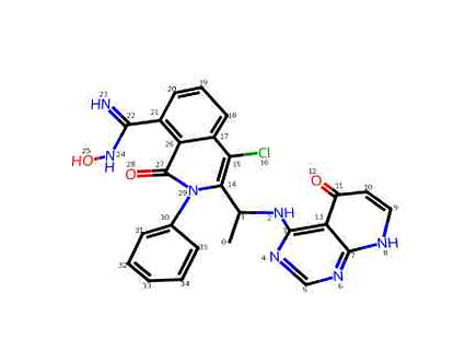 CC(Nc1ncnc2[nH]ccc(=O)c12)c1c(Cl)c2cccc(C(=N)NO)c2c(=O)n1-c1ccccc1